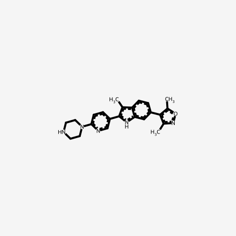 Cc1noc(C)c1-c1ccc2c(C)c(-c3ccc(N4CCNCC4)nc3)[nH]c2c1